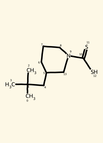 CC(C)(C)CC1CCCN(C(=S)S)C1